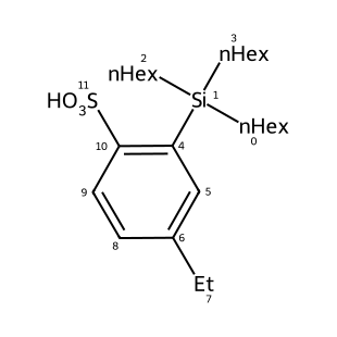 CCCCCC[Si](CCCCCC)(CCCCCC)c1cc(CC)ccc1S(=O)(=O)O